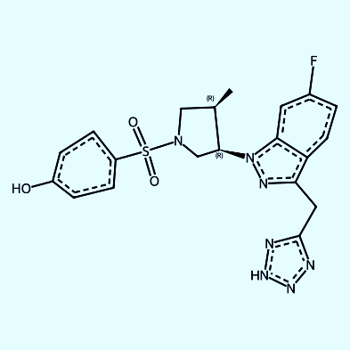 C[C@@H]1CN(S(=O)(=O)c2ccc(O)cc2)C[C@@H]1n1nc(Cc2nn[nH]n2)c2ccc(F)cc21